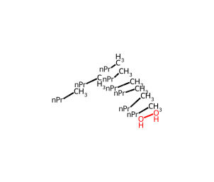 CCCC.CCCC.CCCC.CCCC.CCCC.CCCC.CCCC.CCCC.OO